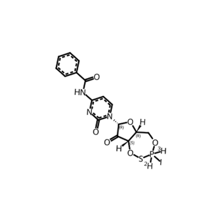 [2H]P1([3H])(I)OC[C@H]2O[C@@H](n3ccc(NC(=O)c4ccccc4)nc3=O)C(=O)[C@H]2OS1